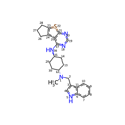 CN(Cc1c[nH]c2ccccc12)[C@H]1CC[C@H](Nc2ncnc3sc4c(c23)CCC4)CC1